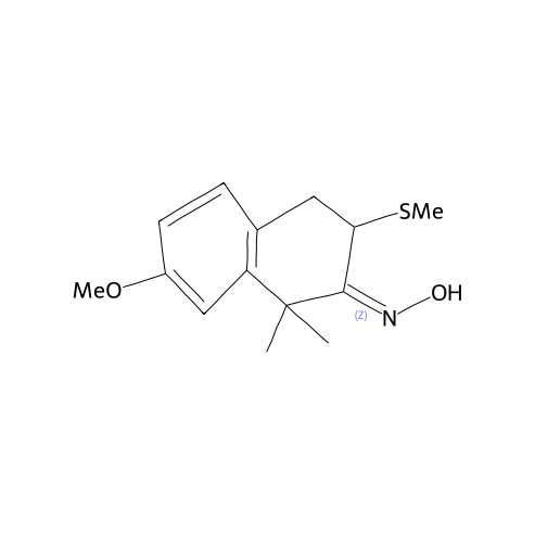 COc1ccc2c(c1)C(C)(C)/C(=N/O)C(SC)C2